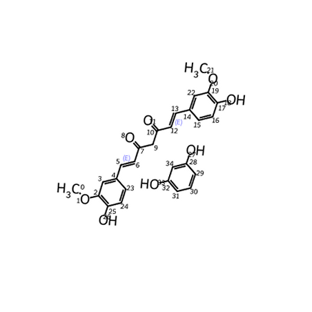 COc1cc(/C=C/C(=O)CC(=O)/C=C/c2ccc(O)c(OC)c2)ccc1O.Oc1cccc(O)c1